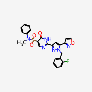 CN(c1ccccc1)S(=O)(=O)c1cnc(-c2cc(-c3ccon3)n(Cc3ccccc3F)n2)[nH]c1=O